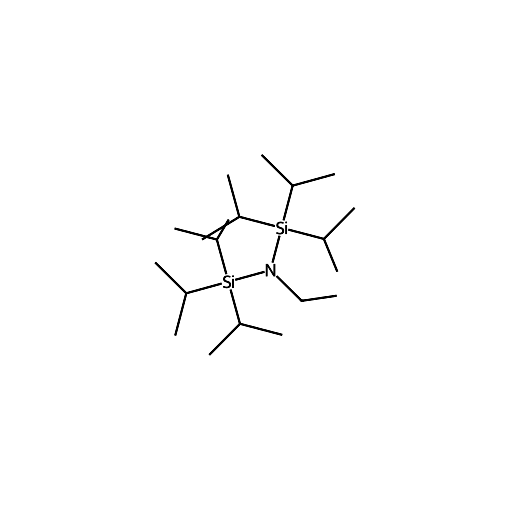 CCN([Si](C(C)C)(C(C)C)C(C)C)[Si](C(C)C)(C(C)C)C(C)C